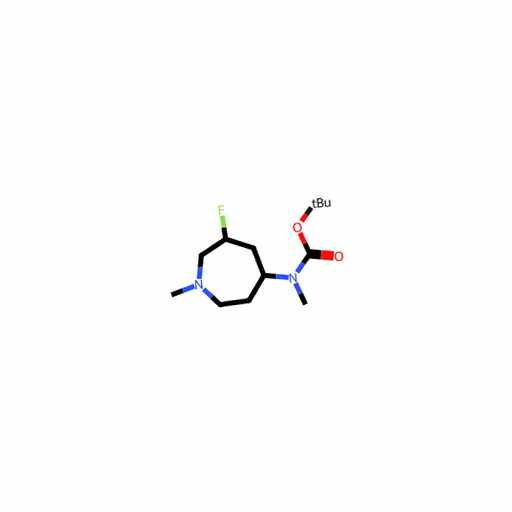 CN1CCC(N(C)C(=O)OC(C)(C)C)CC(F)C1